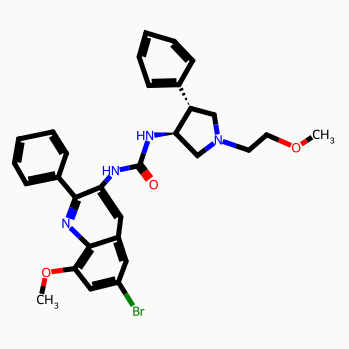 COCCN1C[C@@H](NC(=O)Nc2cc3cc(Br)cc(OC)c3nc2-c2ccccc2)[C@H](c2ccccc2)C1